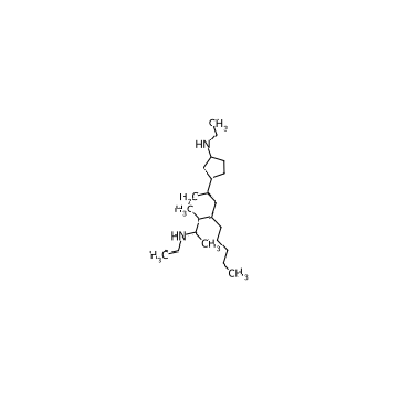 CCCCCC(CC(C)C1CCC(NCC)C1)C(C)C(C)NCC